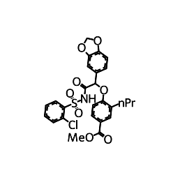 CCCc1cc(C(=O)OC)ccc1OC(C(=O)NS(=O)(=O)c1ccccc1Cl)c1ccc2c(c1)OCO2